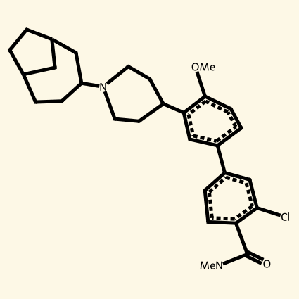 CNC(=O)c1ccc(-c2ccc(OC)c(C3CCN(C4CCC5CCC(C5)C4)CC3)c2)cc1Cl